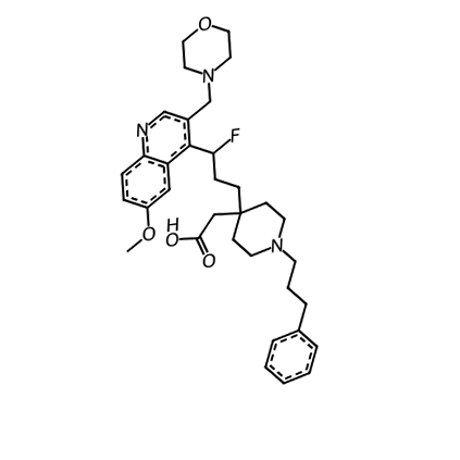 COc1ccc2ncc(CN3CCOCC3)c(C(F)CCC3(CC(=O)O)CCN(CCCc4ccccc4)CC3)c2c1